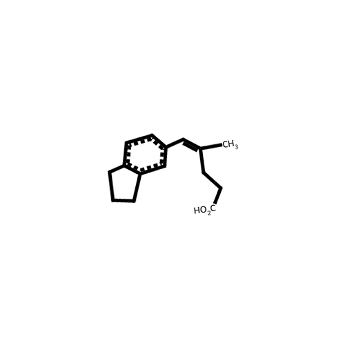 CC(=Cc1ccc2c(c1)CCC2)CCC(=O)O